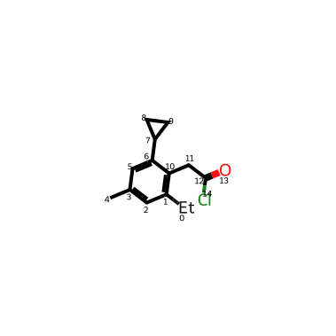 CCc1cc(C)cc(C2CC2)c1CC(=O)Cl